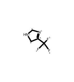 FC(F)(F)C1=NCN[C]1